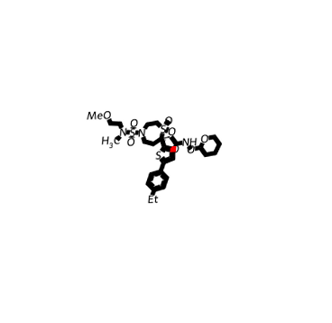 CCc1ccc(-c2ccc([C@@]3(CC(=O)NOC4CCCCO4)CCN(S(=O)(=O)N(C)CCOC)CCS3(=O)=O)s2)cc1